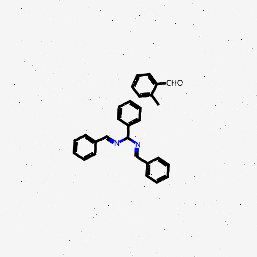 C(=NC(N=Cc1ccccc1)c1ccccc1)c1ccccc1.Cc1ccccc1C=O